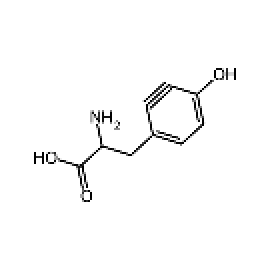 NC(Cc1c#cc(O)cc1)C(=O)O